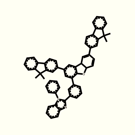 CC1(C)c2ccccc2-c2ccc(C3=CC4c5cc(-c6ccc7c(c6)C(C)(C)c6ccccc6-7)cc(-c6cccc(-c7nc8ccccc8n7-c7ccccc7)c6)c5OC4C=C3)cc21